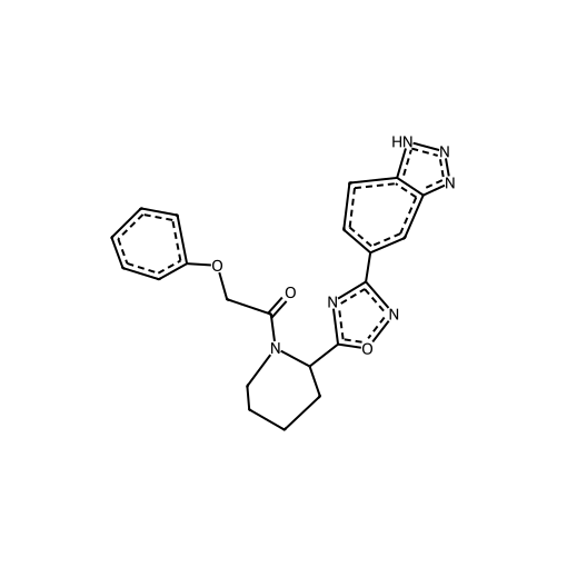 O=C(COc1ccccc1)N1CCCCC1c1nc(-c2ccc3[nH]nnc3c2)no1